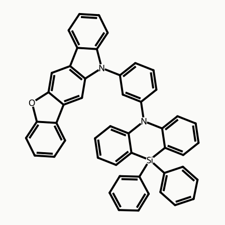 c1ccc([Si]2(c3ccccc3)c3ccccc3N(c3cccc(-n4c5ccccc5c5cc6oc7ccccc7c6cc54)c3)c3ccccc32)cc1